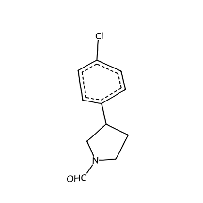 O=CN1CCC(c2ccc(Cl)cc2)C1